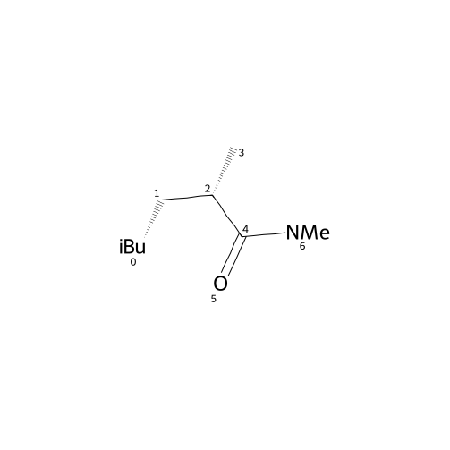 CC[C@@H](C)C[C@H](C)C(=O)NC